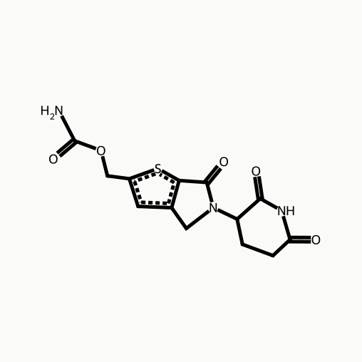 NC(=O)OCc1cc2c(s1)C(=O)N(C1CCC(=O)NC1=O)C2